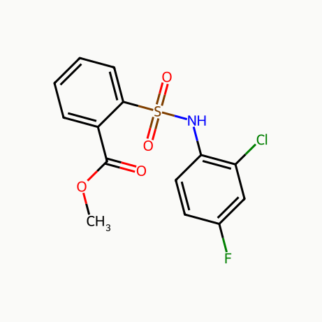 COC(=O)c1ccccc1S(=O)(=O)Nc1ccc(F)cc1Cl